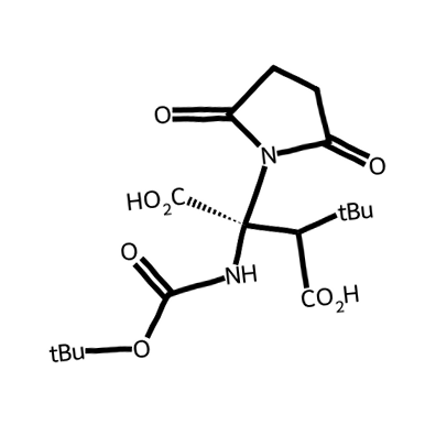 CC(C)(C)OC(=O)N[C@](C(=O)O)(C(C(=O)O)C(C)(C)C)N1C(=O)CCC1=O